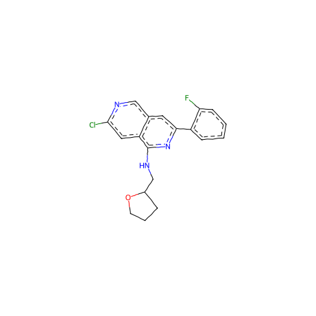 Fc1ccccc1-c1cc2cnc(Cl)cc2c(NCC2CCCO2)n1